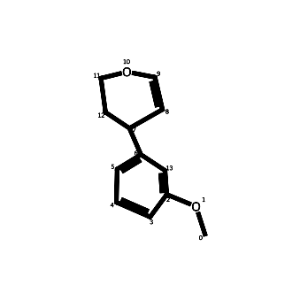 COc1cccc(C2C=COCC2)c1